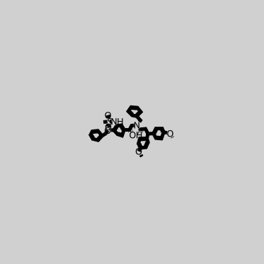 COc1ccc(C(C[C@H](C)N(Cc2ccccc2)C[C@H](O)c2ccc(OCc3ccccc3)c(NS(C)(=O)=O)c2)c2ccc(OC)cc2)cc1